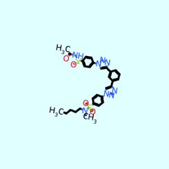 CCCCCN(C)S(=O)(=O)c1ccc(-n2cc(-c3cccc(-c4cn(-c5ccc([S+]([O-])NC(C)=O)cc5)nn4)c3)nn2)cc1